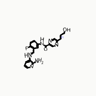 Nc1ncccc1NCc1cc(NC(=O)c2cnc(/C=C/CO)cn2)ccc1F